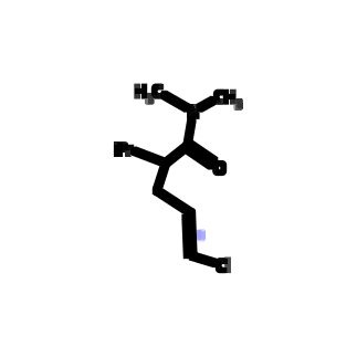 CC(C)C(C/C=C/Cl)C(=O)N(C)C